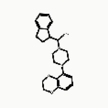 CCCC(C1CCc2ccccc21)N1CCN(c2cccc3c2OCCO3)CC1